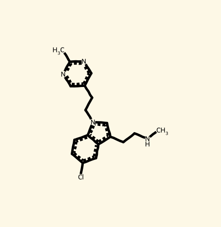 CNCCc1cn(CCc2cnc(C)nc2)c2ccc(Cl)cc12